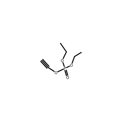 C#COP(=O)(OCC)OCC